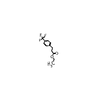 CCOC(=O)CCc1ccc(C(F)(F)F)cc1